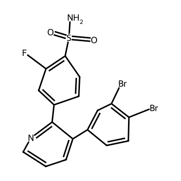 NS(=O)(=O)c1ccc(-c2ncccc2-c2ccc(Br)c(Br)c2)cc1F